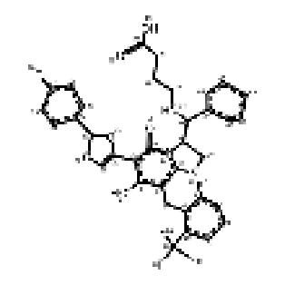 Cc1c(Cc2c(F)cccc2C(F)(F)F)c2n(c(=O)c1C1=COC(c3ccc(F)cc3)O1)C(C(NCCCC(=O)O)c1ccccc1)CS2